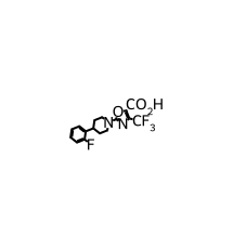 O=C(O)c1oc(N2CCC(c3ccccc3F)CC2)nc1C(F)(F)F